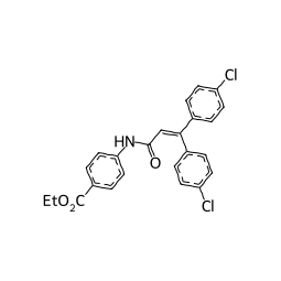 CCOC(=O)c1ccc(NC(=O)C=C(c2ccc(Cl)cc2)c2ccc(Cl)cc2)cc1